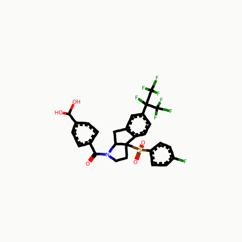 O=C(c1ccc(C(O)O)cc1)N1CCC2(S(=O)(=O)c3ccc(F)cc3)c3ccc(C(F)(C(F)(F)F)C(F)(F)F)cc3CC12